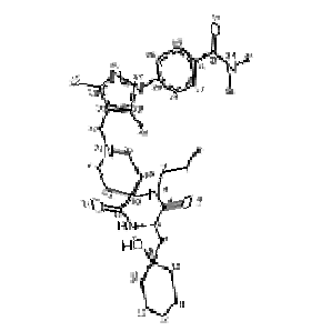 CCCN1C(=O)[C@@H](CC2(O)CCCCC2)NC(=O)C12CCN(Cc1c(C)nn(-c3ccc(C(=O)N(C)C)cc3)c1C)CC2